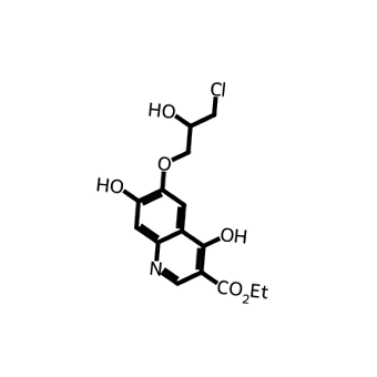 CCOC(=O)c1cnc2cc(O)c(OCC(O)CCl)cc2c1O